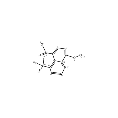 COc1ccc([N+](=O)[O-])c2c(C(F)(F)F)ccnc12